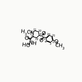 COc1ccc(S(=O)(=O)C2CCN(C)C(C(=O)NO)C2)cc1